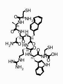 C[C@@H](NC(=O)[C@@H](N)CS)C(=O)N[C@@H](CC(N)=O)C(=O)N[C@H](Cc1ccc2ccccc2c1)C(=O)N[C@@H](CCCNC(=N)N)C(=O)N[C@@H](Cc1c[nH]c2ccccc12)C(=O)N[C@@H](CS)C(=O)O